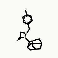 O=C1CN(Cc2ccc(Cl)cc2)N1C1C2CC3CC(C2)CC1C3